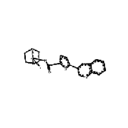 O=C(N[C@H]1CN2CCC1CC2)c1ccc(-c2cnc3ccccc3c2)o1